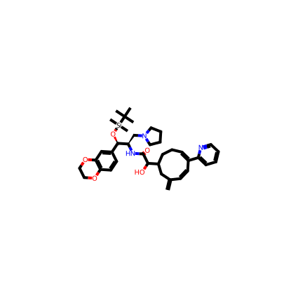 C=C1/C=C\C(c2ccccn2)=C/CCC(C(O)C(=O)N[C@H](CN2CCCC2)[C@H](O[Si](C)(C)C(C)(C)C)c2ccc3c(c2)OCCO3)C1